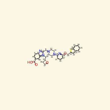 O=C(O)c1ccc2nc(CN3CCN(c4cccc(OCc5cc6ccccc6s5)n4)CC3)n(C[C@@H]3CCO3)c2c1